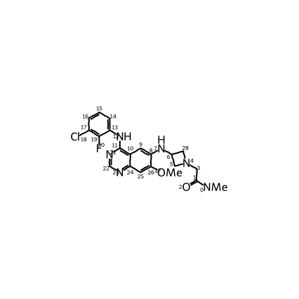 CNC(=O)CN1CC(Nc2cc3c(Nc4cccc(Cl)c4F)ncnc3cc2OC)C1